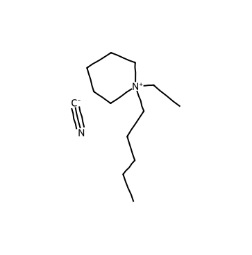 CCCCC[N+]1(CC)CCCCC1.[C-]#N